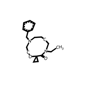 CCN1CCCCN(Cc2ccccc2)CCOC2(CC2)C1=O